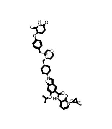 CC(C)Oc1cc2nn([C@H]3CC[C@H](CN4CCOC[C@H]4Cc4ccc(OC5CCC(=O)NC5=O)cc4)CC3)cc2cc1C(=O)Nc1cccn([C@H]2C[C@H]2F)c1=O